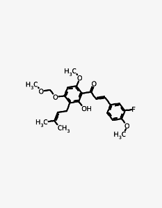 COCOc1cc(OC)c(C(=O)C=Cc2ccc(OC)c(F)c2)c(O)c1CC=C(C)C